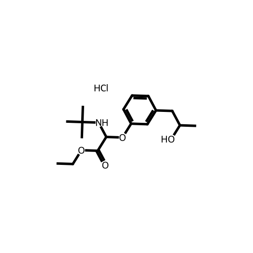 CCOC(=O)C(NC(C)(C)C)Oc1cccc(CC(C)O)c1.Cl